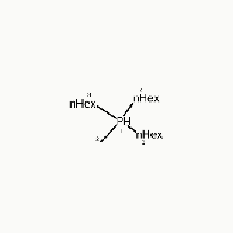 CCCCCC[PH](C)(CCCCCC)CCCCCC